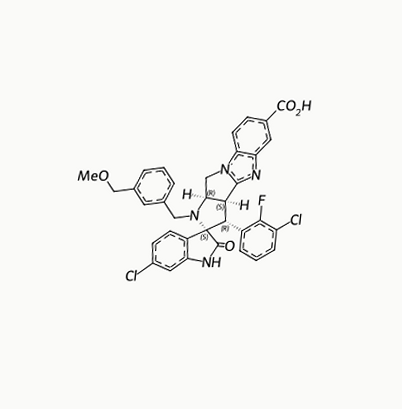 COCc1cccc(CN2[C@H]3Cn4c(nc5cc(C(=O)O)ccc54)[C@H]3[C@H](c3cccc(Cl)c3F)[C@]23C(=O)Nc2cc(Cl)ccc23)c1